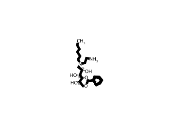 CCCCCCN(CCN)C[C@H](O)[C@@H](O)[C@@H]1OC(c2ccccc2)OC[C@H]1O